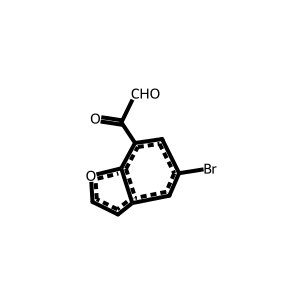 O=CC(=O)c1cc(Br)cc2ccoc12